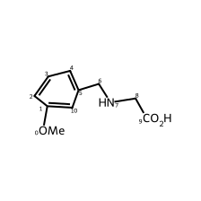 COc1cccc(CNCC(=O)O)c1